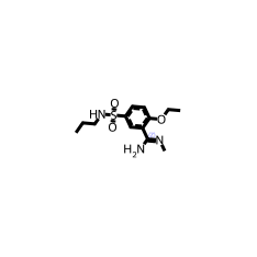 CCCNS(=O)(=O)c1ccc(OCC)c(/C(N)=N/C)c1